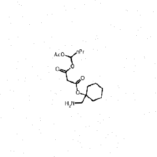 CCCC(OC(C)=O)OC(=O)CC(=O)OC1(CN)CCCCC1